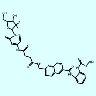 CC(C)(C)OC(=O)Nc1ccccc1NC(=O)c1ccc2nc(CNC(=O)CCC(=O)Nc3ccn(C4OC(CO)C(O)C4(F)F)c(=O)n3)ccc2c1